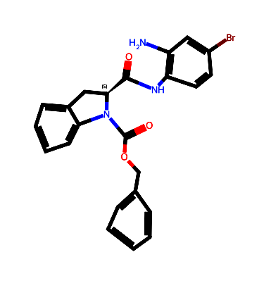 Nc1cc(Br)ccc1NC(=O)[C@@H]1Cc2ccccc2N1C(=O)OCc1ccccc1